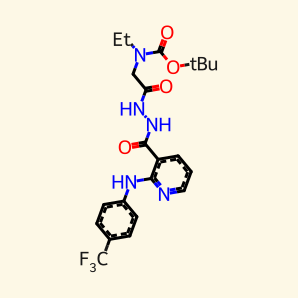 CCN(CC(=O)NNC(=O)c1cccnc1Nc1ccc(C(F)(F)F)cc1)C(=O)OC(C)(C)C